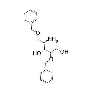 C[C@H](O)[C@@H](OCc1ccccc1)[C@H](O)[C@H](N)COCc1ccccc1